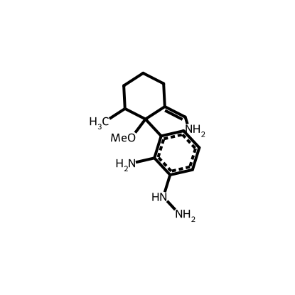 COC1(c2cccc(NN)c2N)/C(=C\N)CCCC1C